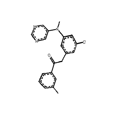 Cc1cccc(C(=O)Cc2cc(Cl)cc(N(C)c3cncnc3)c2)c1